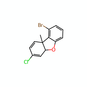 CC12C=CC(Cl)=CC1Oc1cccc(Br)c12